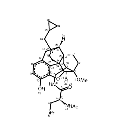 COC12CC[C@@]3(C[C@@H]1CNC(=O)[C@H](CC(C)C)NC(C)=O)[C@H]1Cc4ccc(O)c5c4[C@@]3(CCN1CC1CC1)C2O5